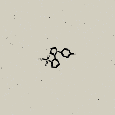 NS(=O)(=O)c1ccccc1-c1cccn1-c1ccc(Cl)cc1